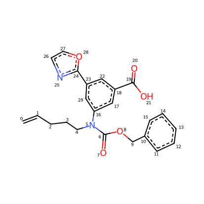 C=CCCCN(C(=O)OCc1ccccc1)c1cc(C(=O)O)cc(-c2ncco2)c1